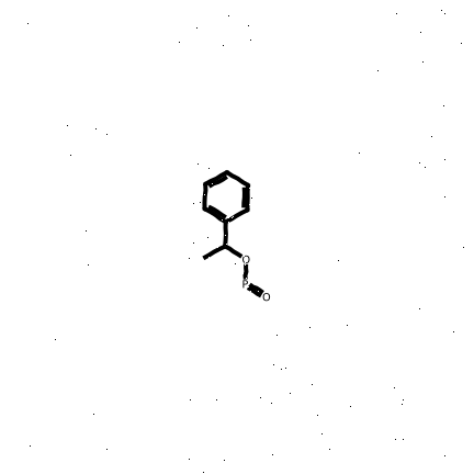 CC(OP=O)c1ccccc1